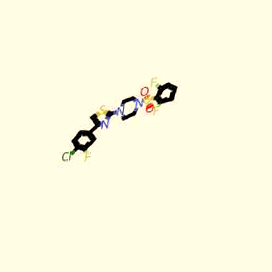 O=S(=O)(c1c(F)cccc1F)N1CCN(c2nc(-c3ccc(Cl)c(F)c3)cs2)CC1